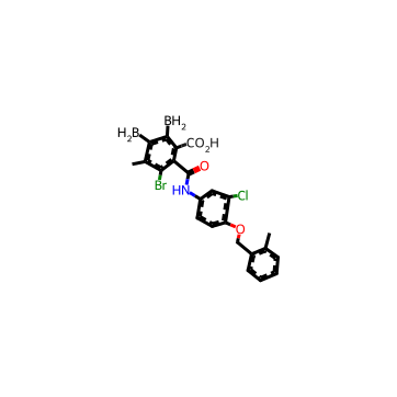 Bc1c(B)c(C(=O)O)c(C(=O)Nc2ccc(OCc3ccccc3C)c(Cl)c2)c(Br)c1C